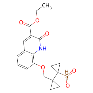 CCOC(=O)c1cc2cccc(OCC3(C4([SH](=O)=O)CC4)CC3)c2[nH]c1=O